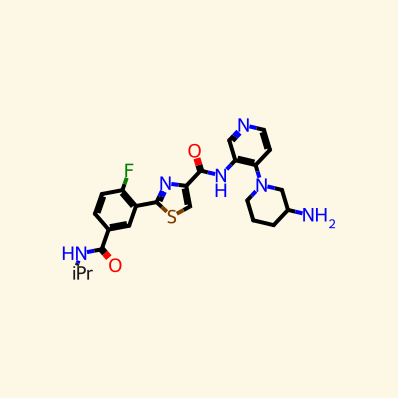 CC(C)NC(=O)c1ccc(F)c(-c2nc(C(=O)Nc3cnccc3N3CCCC(N)C3)cs2)c1